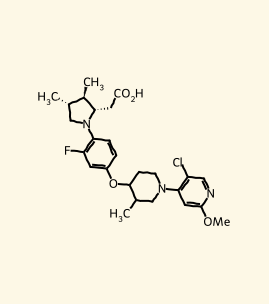 COc1cc(N2CCC(Oc3ccc(N4C[C@H](C)[C@@H](C)[C@@H]4CC(=O)O)c(F)c3)C(C)C2)c(Cl)cn1